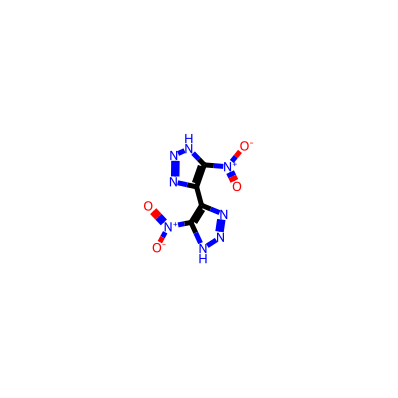 O=[N+]([O-])c1[nH]nnc1-c1nn[nH]c1[N+](=O)[O-]